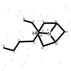 CCCCC(CC)N1C2CNCC1C2